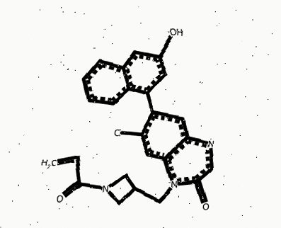 C=CC(=O)N1CC(Cn2c(=O)cnc3cc(-c4cc(O)cc5ccccc45)c(Cl)cc32)C1